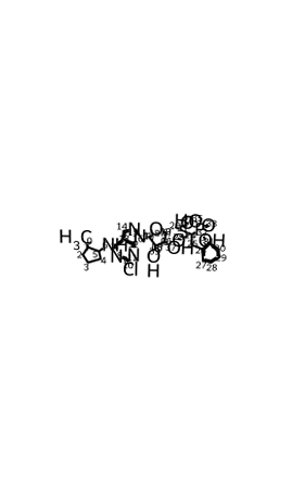 CC1CCCC1Nc1nc(Cl)nc2c1cnn2[C@@H]1O[C@H](CS(=O)(=O)C(Cc2ccccc2)P(=O)(O)O)[C@@H](O)[C@H]1O